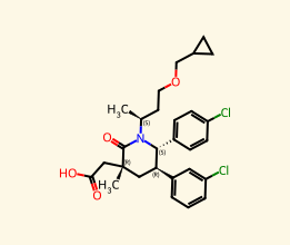 C[C@@H](CCOCC1CC1)N1C(=O)[C@@](C)(CC(=O)O)C[C@H](c2cccc(Cl)c2)[C@H]1c1ccc(Cl)cc1